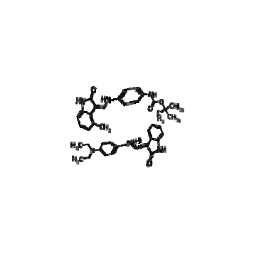 CCN(CC)c1ccc(N/C=C2/C(=O)Nc3ccccc32)cc1.Cc1cccc2c1/C(=C/Nc1ccc(NC(=O)OC(C)(C)C)cc1)C(=O)N2